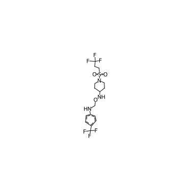 O=S(=O)(CCC(F)(F)F)N1CCC(NOCNc2ccc(C(F)(F)F)cc2)CC1